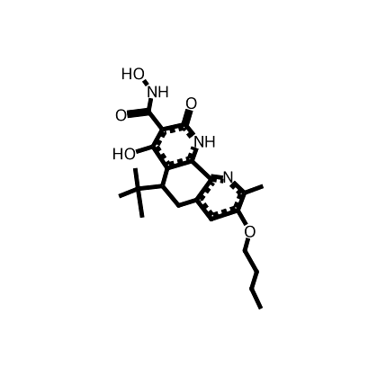 CCCCOc1cc2c(nc1C)-c1[nH]c(=O)c(C(=O)NO)c(O)c1C(C(C)(C)C)C2